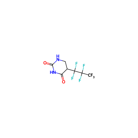 O=C1NCC(C(F)(F)C(F)(F)C(F)(F)F)C(=O)N1